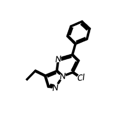 CCc1cnn2c(Cl)cc(-c3ccccc3)nc12